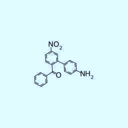 Nc1ccc(-c2cc([N+](=O)[O-])ccc2C(=O)c2ccccc2)cc1